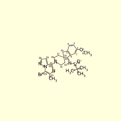 COc1ccc2c(c1)C(=N[S+]([O-])C(C)(C)C)C1(CCN(c3nc(C)c(Br)n4nccc34)CC1)C2